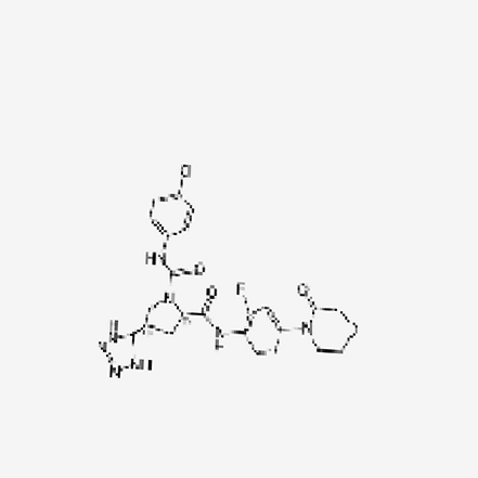 O=C(Nc1ccc(N2CCCCC2=O)cc1F)[C@H]1C[C@@H](C2NN=NN2)CN1C(=O)Nc1ccc(Cl)cc1